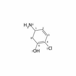 NC1C=CC(Cl)=C(O)C1